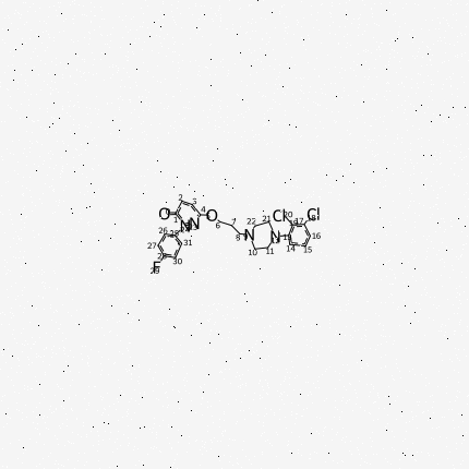 O=c1ccc(OCCCN2CCN(c3cccc(Cl)c3Cl)CC2)nn1-c1ccc(F)cc1